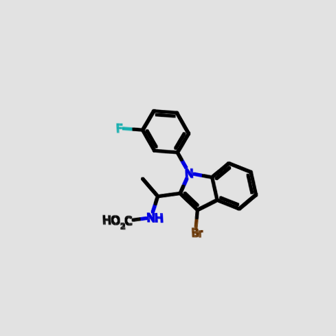 CC(NC(=O)O)c1c(Br)c2ccccc2n1-c1cccc(F)c1